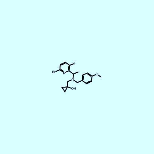 COc1ccc(CN(CC2(O)CC2)C(C)c2nc(Br)ccc2F)cc1